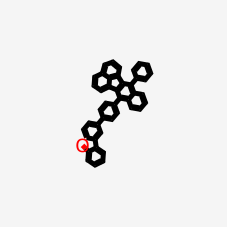 c1ccc(-c2c3c(c(-c4ccc(-c5ccc6oc7ccccc7c6c5)cc4)c4ccccc24)-c2cccc4cccc-3c24)cc1